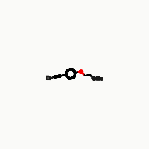 CCC#Cc1ccc(OCCOC)cc1